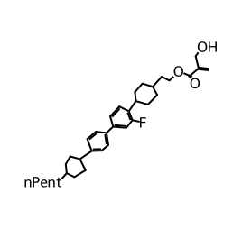 C=C(CO)C(=O)OCCC1CCC(c2ccc(-c3ccc(C4CCC(CCCCC)CC4)cc3)cc2F)CC1